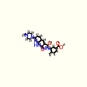 COC(=O)c1ccc(C)c(NC(=O)c2cc3ccc(N4CCN(C)CC4)nc3[nH]c2=O)c1